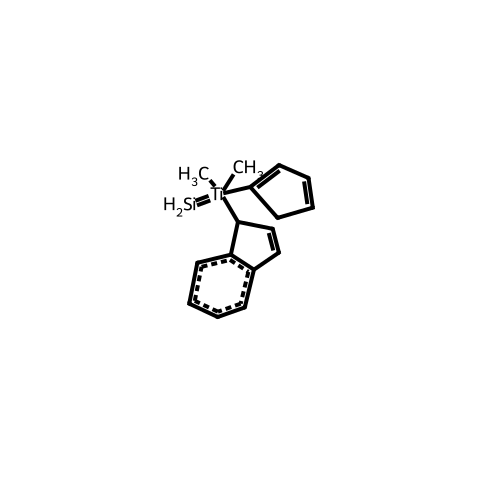 [CH3][Ti]([CH3])(=[SiH2])([C]1=CC=CC1)[CH]1C=Cc2ccccc21